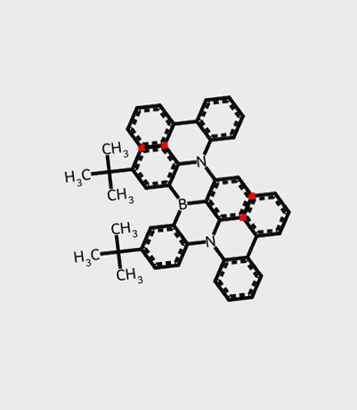 CC(C)(C)c1ccc2c(c1)B1c3cc(C(C)(C)C)ccc3N(c3ccccc3-c3ccccc3)c3cccc(c31)N2c1ccccc1-c1ccccc1